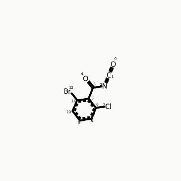 O=C=NC(=O)c1c(Cl)cccc1Br